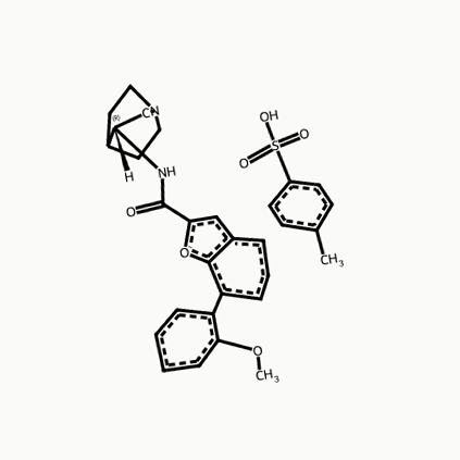 COc1ccccc1-c1cccc2cc(C(=O)N[C@H]3CN4CCC3CC4)oc12.Cc1ccc(S(=O)(=O)O)cc1